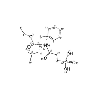 CCOC(=O)[C@](Cc1ccccc1)(CC(C)C)NC(=O)CCP(=O)(O)O